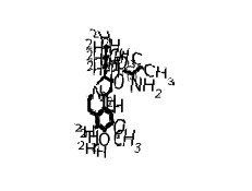 [2H]c1c2c(c([2H])c(OC)c1OC([2H])([2H])[2H])C1([2H])CC([2H])(OC(=O)[C@@H](N)C(C)C)C(C([2H])([2H])C([2H])(C)C([2H])([2H])[2H])CN1CC2